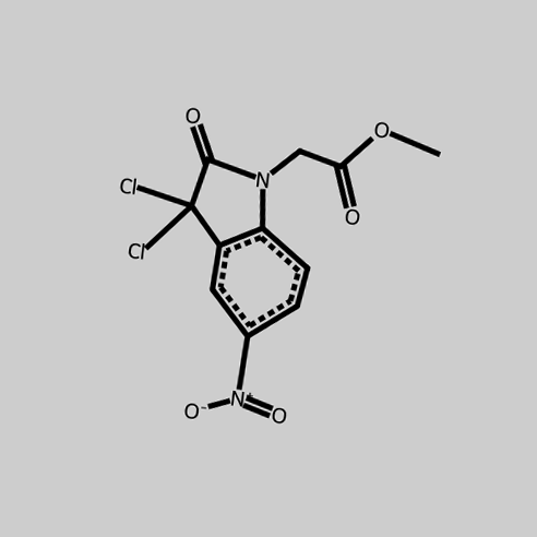 COC(=O)CN1C(=O)C(Cl)(Cl)c2cc([N+](=O)[O-])ccc21